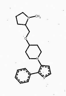 CN1CCCC1COC1CCN(c2ccsc2-c2ccccc2)CC1